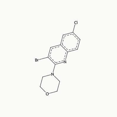 Clc1ccc2nc(N3CCOCC3)c(Br)cc2c1